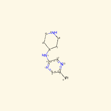 CC(C)c1cnc(NC2CCNCC2)cn1